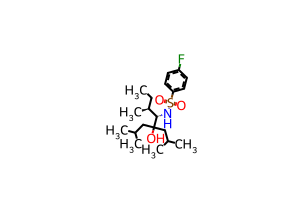 CC[C@H](C)[C@H](NS(=O)(=O)c1ccc(F)cc1)C(O)(CC(C)C)CC(C)C